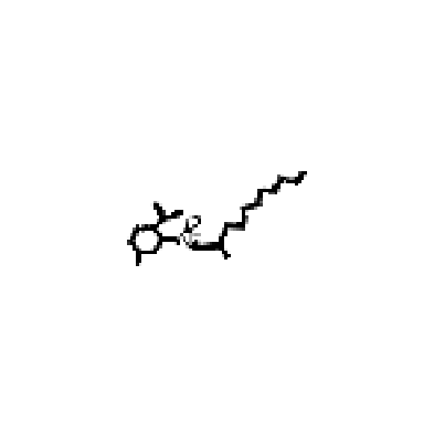 CCCCCCCCCC(C)C=[N+]([O-])C1CC(C)CCC1C(C)C